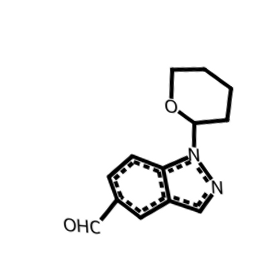 O=Cc1ccc2c(cnn2C2CCCCO2)c1